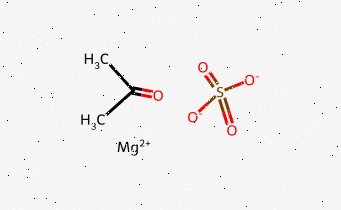 CC(C)=O.O=S(=O)([O-])[O-].[Mg+2]